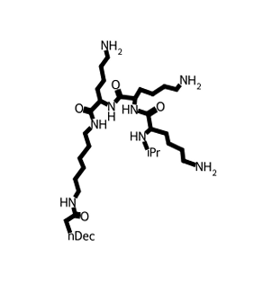 CCCCCCCCCCCC(=O)NCCCCCCNC(=O)C(CCCCN)NC(=O)C(CCCCN)NC(=O)C(CCCCN)NC(C)C